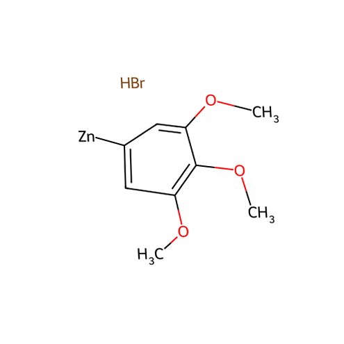 Br.COc1c[c]([Zn])cc(OC)c1OC